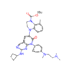 Cc1cccc2c1N(C(=O)OC(C)(C)C)CCN2c1cc2cnc(NC3CCC3)nc2n(-c2ccc(N(C)CCN(C)C)cc2)c1=O